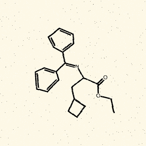 CCOC(=O)C(CC1CCC1)N=C(c1ccccc1)c1ccccc1